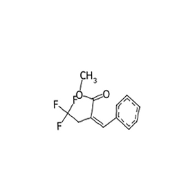 COC(=O)C(=Cc1ccccc1)CC(F)(F)F